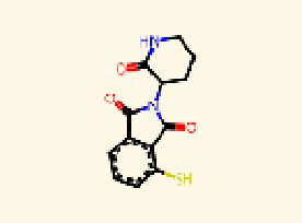 O=C1NCCCC1N1C(=O)c2cccc(S)c2C1=O